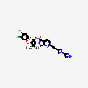 CC1(C)[C@H](Oc2ccc(C#N)c(Cl)c2)C(C)(C)[C@H]1N1Cc2nc(C#CC3CN(C4CNC4)C3)ccc2C1=O